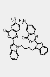 Nc1ccc2nc(-c3cc4ccccc4n3CCCCn3c(-c4nc5ccc(N)cc5c(=O)o4)cc4ccccc43)oc(=O)c2c1